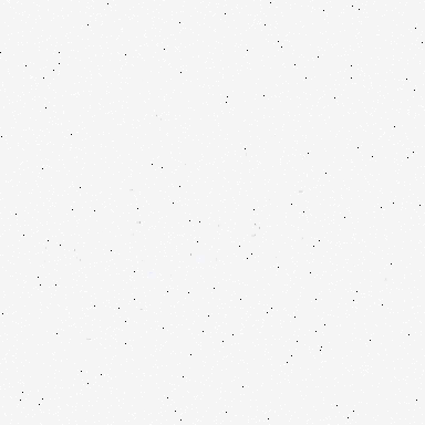 CCN(CC)Cc1ccc(C(=C\c2sc3ccccc3[n+]2CCCS(=O)(=O)[O-])/C=C2\C=CN(C)c3ccccc32)cc1